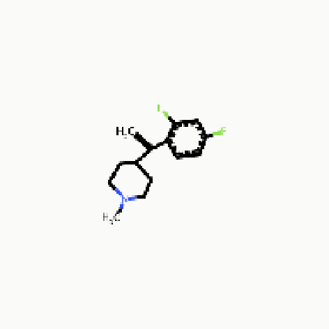 C=C(c1ccc(F)cc1F)C1CCN(C)CC1